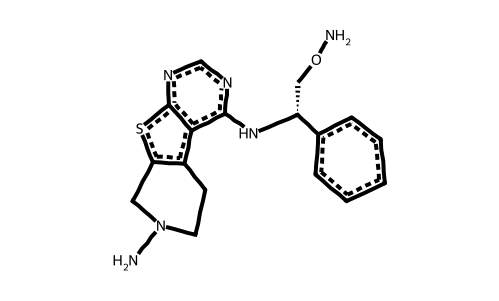 NOC[C@@H](Nc1ncnc2sc3c(c12)CCN(N)C3)c1ccccc1